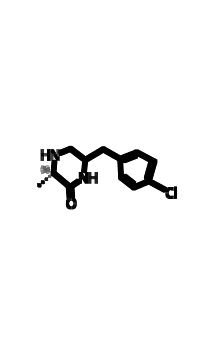 C[C@@H]1NCC(Cc2ccc(Cl)cc2)NC1=O